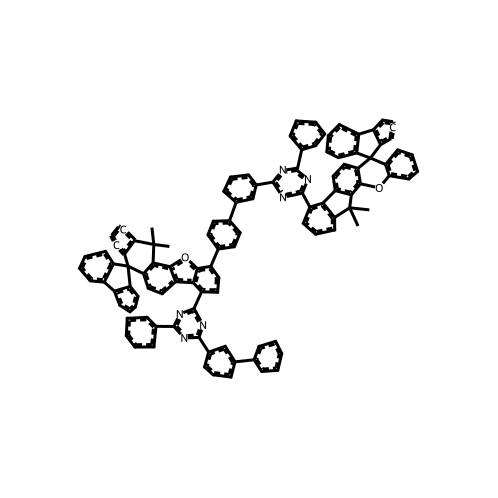 CC1(C)c2cccc(-c3nc(-c4ccccc4)nc(-c4cccc(-c5ccc(-c6ccc(-c7nc(-c8ccccc8)nc(-c8cccc(-c9ccccc9)c8)n7)c7c6oc6c8c(ccc67)C6(c7ccccc7-c7ccccc76)c6ccccc6C8(C)C)cc5)c4)n3)c2-c2ccc3c(c21)Oc1ccccc1C31c2ccccc2-c2ccccc21